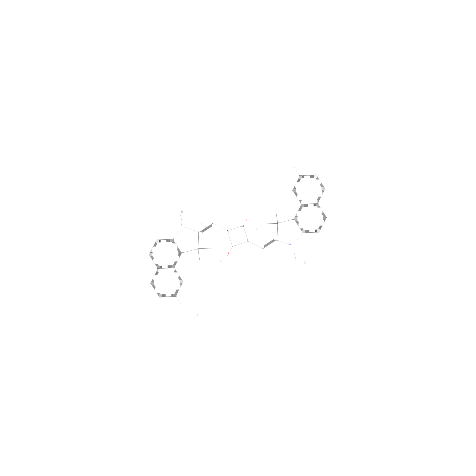 CCCCN1/C(=C/C2C(O)C(/C=C3/N(CCCC)c4ccc5ccc(C)cc5c4C3(C)C)C2O)C(C)(C)c2c1ccc1ccc(C)cc21